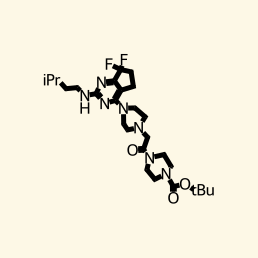 CC(C)CCNc1nc(N2CCN(CC(=O)N3CCN(C(=O)OC(C)(C)C)CC3)CC2)c2c(n1)C(F)(F)CC2